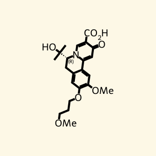 COCCCOc1cc2c(cc1OC)-c1cc(=O)c(C(=O)O)cn1[C@@H](C(C)(C)O)C2